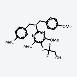 COc1ccc(CN(Cc2ccc(OC)cc2)c2nc(OC)c(OC(F)(F)CO)c(OC)n2)cc1